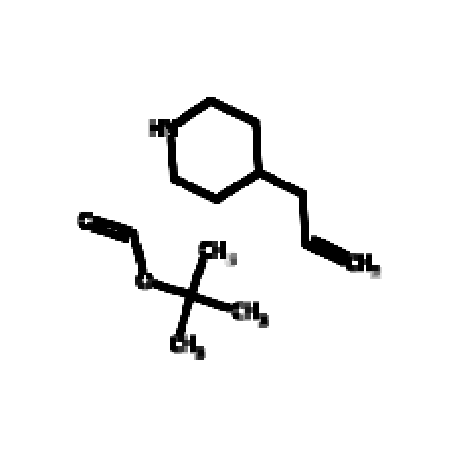 C=CCC1CCNCC1.CC(C)(C)OC=O